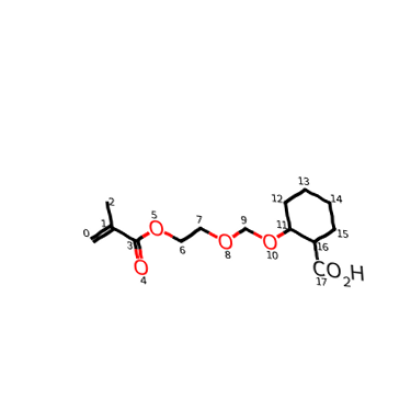 C=C(C)C(=O)OCCOCOC1CCCCC1C(=O)O